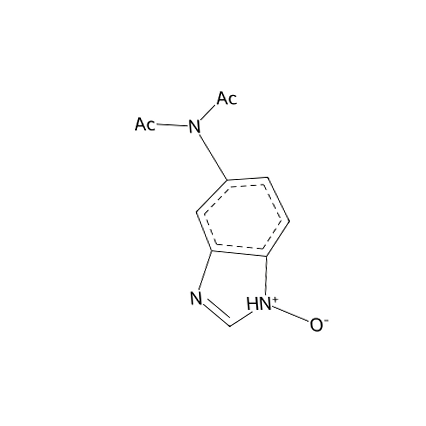 CC(=O)N(C(C)=O)c1ccc2c(c1)N=C[NH+]2[O-]